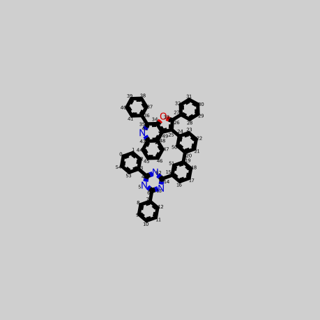 c1ccc(-c2nc(-c3ccccc3)nc(-c3cccc(-c4cccc(-c5c(-c6ccccc6)oc6c(-c7ccccc7)nc7ccccc7c56)c4)c3)n2)cc1